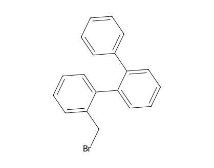 BrCc1ccccc1-c1ccccc1-c1ccccc1